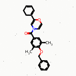 Cc1cc(C(=O)N2C=COC(C3=CC=CCC3)=C2)cc(C)c1OCc1ccccc1